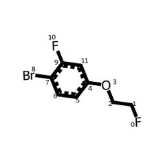 FCCOc1ccc(Br)c(F)c1